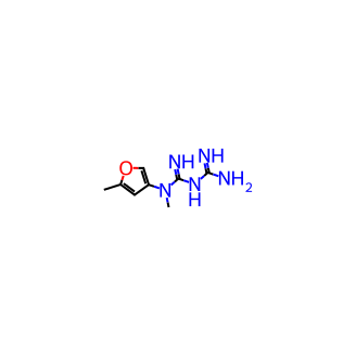 Cc1cc(N(C)C(=N)NC(=N)N)co1